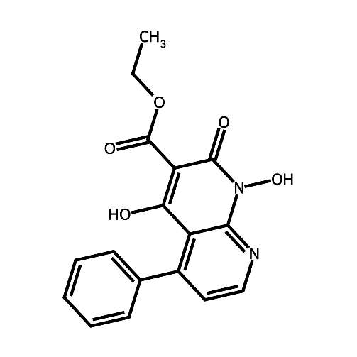 CCOC(=O)c1c(O)c2c(-c3ccccc3)ccnc2n(O)c1=O